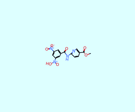 COC(=O)c1ccc(NC(=O)c2cc([N+](=O)[O-])cc([N+](=O)O)c2)nc1